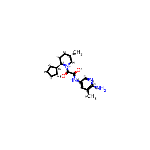 Cc1cc(NC(=O)C(=O)N2C[C@@H](C)CC[C@@H]2C2CCCC2)cnc1N